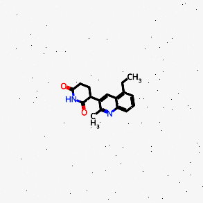 CCc1cccc2nc(C)c(C3CCC(=O)NC3=O)cc12